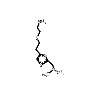 CN(C)Cc1nc(CCSCCN)cs1